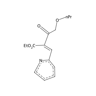 CCCOCC(=O)/C(=C/c1ccccn1)C(=O)OCC